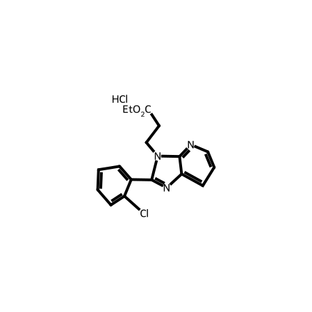 CCOC(=O)CCn1c(-c2ccccc2Cl)nc2cccnc21.Cl